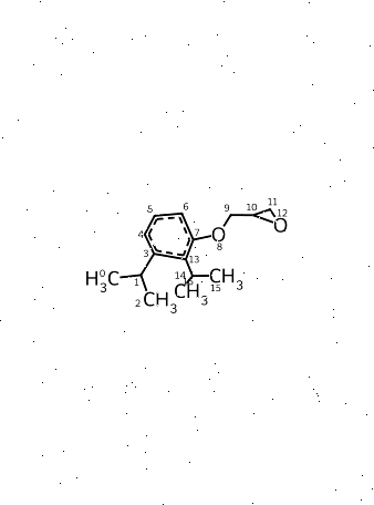 CC(C)c1cccc(OCC2CO2)c1C(C)C